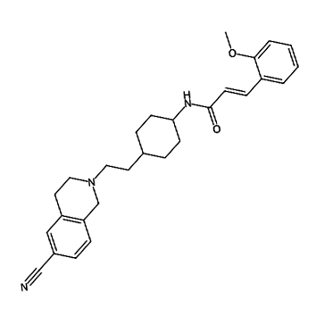 COc1ccccc1/C=C/C(=O)NC1CCC(CCN2CCc3cc(C#N)ccc3C2)CC1